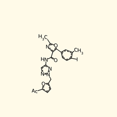 CC(=O)c1ccc(Cn2ncc(NC(=O)c3nc(C)oc3-c3ccc(I)c(C)c3)n2)o1